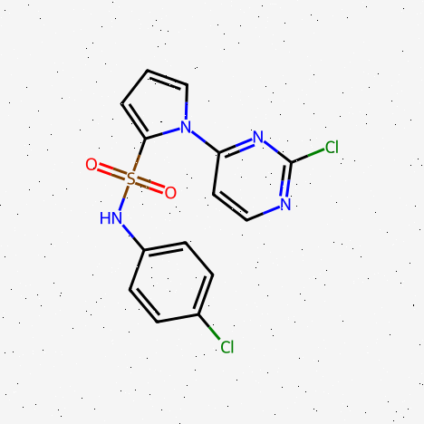 O=S(=O)(Nc1ccc(Cl)cc1)c1cccn1-c1ccnc(Cl)n1